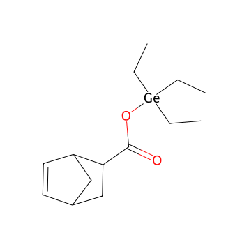 C[CH2][Ge]([CH2]C)([CH2]C)[O]C(=O)C1CC2C=CC1C2